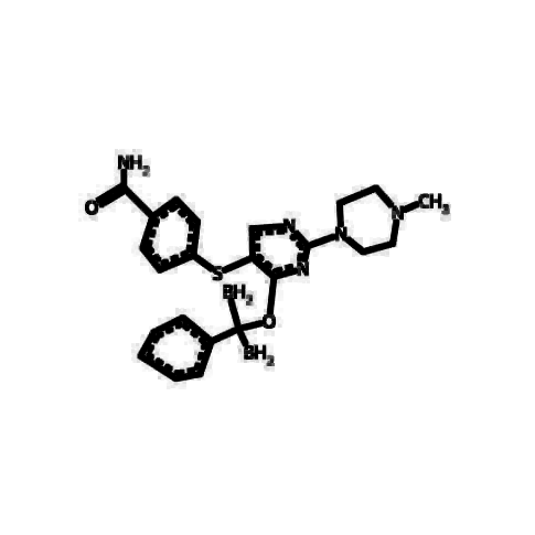 BC(B)(Oc1nc(N2CCN(C)CC2)ncc1Sc1ccc(C(N)=O)cc1)c1ccccc1